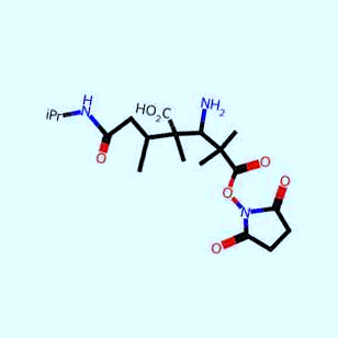 CC(C)NC(=O)CC(C)C(C)(C(=O)O)C(N)C(C)(C)C(=O)ON1C(=O)CCC1=O